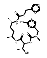 CC(C)c1nc(CN(C)C(=O)N[C@H](C(=O)N[C@@H](C)CC[C@H](C)NC(=O)OCc2cncs2)[C@@H](C)O)cs1